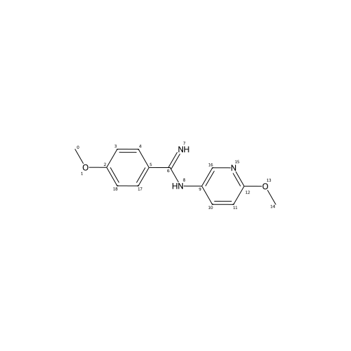 COc1ccc(C(=N)Nc2ccc(OC)nc2)cc1